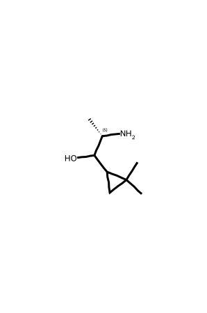 C[C@H](N)C(O)C1CC1(C)C